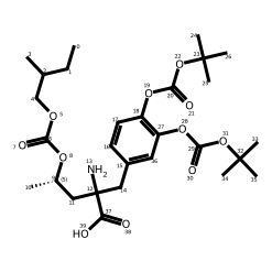 CCC(C)COC(=O)O[C@@H](C)CC(N)(Cc1ccc(OC(=O)OC(C)(C)C)c(OC(=O)OC(C)(C)C)c1)C(=O)O